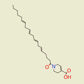 CCCCC/C=C/C/C=C/C/C=C/C/C=C/CCCC(=O)N1CC=C(C(=O)O)CC1